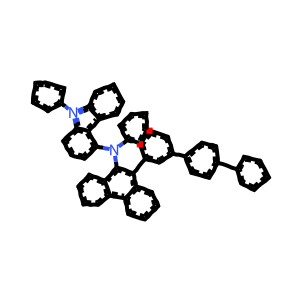 c1ccc(-c2ccc(-c3cccc(-c4c(N(c5ccccc5)c5cccc6c5c5ccccc5n6-c5ccccc5)c5ccccc5c5ccccc45)c3)cc2)cc1